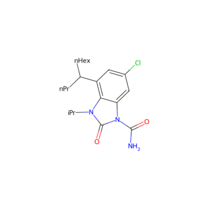 CCCCCCC(CCC)c1cc(Cl)cc2c1n(C(C)C)c(=O)n2C(N)=O